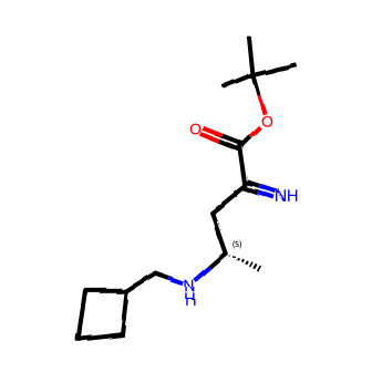 C[C@@H](CC(=N)C(=O)OC(C)(C)C)NCC1CCC1